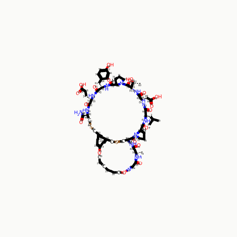 CC(C)C[C@@H]1NC(=O)[C@@H]2CCCN2C(=O)[C@@H]2CSCc3cc(cc(c3)OCCCCCCO/N=C/C(=O)N[C@@H](C)C(=O)N2)CSC[C@@H](C(N)=O)NC(=O)[C@H](CCC(=O)O)NC(=O)[C@H](Cc2ccc(O)cc2)NC(=O)[C@@H]2CCCN2C(=O)[C@H]([C@@H](C)O)NC(=O)[C@H](CC(=O)O)NC1=O